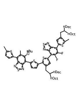 CCCCCCCCCCC(CCCCCCCC)Cc1cc(-c2c(F)c(F)c(-c3cc(CC(CCCCCCCC)CCCCCCCCCC)c(-c4ccc(-c5c(OCCCC)c(C)c(-c6ccc(C)s6)c6nsnc56)s4)s3)c3nsnc23)sc1C